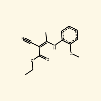 CCOC(=O)/C(C#N)=C(/C)Nc1ccccc1OC